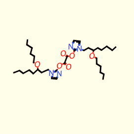 CCCCCCOC(CCCCC)CCn1ccnc1OC(=O)C(=O)Oc1nccn1CCC(CCCCC)OCCCCCC